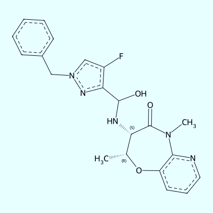 C[C@H]1Oc2cccnc2N(C)C(=O)[C@H]1NC(O)c1nn(Cc2ccccc2)cc1F